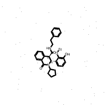 CCOc1c(O)cccc1[C@H]1[C@H](C(=O)NCCc2ccccc2)c2ccccc2C(=O)N1C1CCCC1